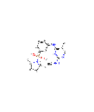 Cc1cnc(NC(C)(C)C)nc1Nc1cccc(S(=O)(=O)N2C(C)CCC2C)c1